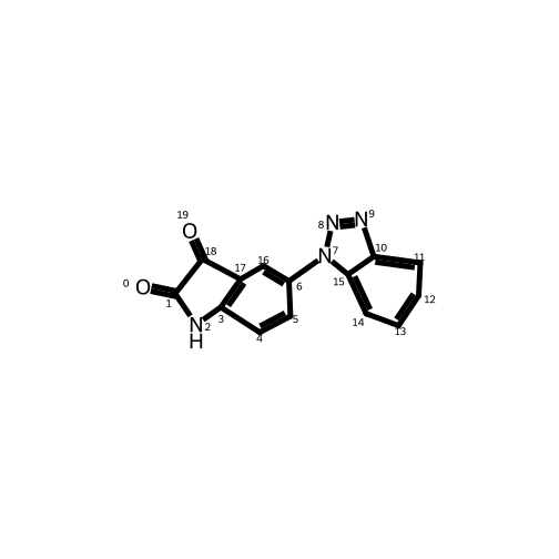 O=C1Nc2ccc(-n3nnc4ccccc43)cc2C1=O